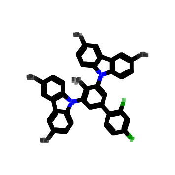 CC(C)(C)c1ccc2c(c1)c1cc(C(C)(C)C)ccc1n2-c1cc(-c2ccc(F)cc2F)cc(-n2c3ccc(C(C)(C)C)cc3c3cc(C(C)(C)C)ccc32)c1C(F)(F)F